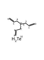 C=CCP(CC=C)CC=C.[TeH2]